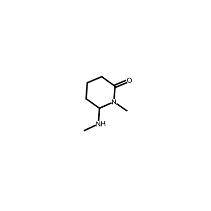 CNC1CCCC(=O)N1C